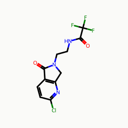 O=C1c2ccc(Cl)nc2CN1CCNC(=O)C(F)(F)F